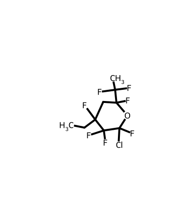 CCC1(F)CC(F)(C(C)(F)F)OC(F)(Cl)C1(F)F